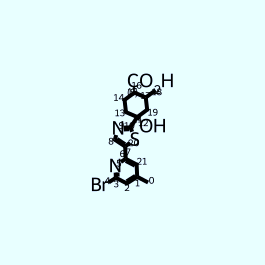 Cc1cc(Br)nc(-c2cnc(C3(O)CC[C@H](C(=O)O)C(C)C3)s2)c1